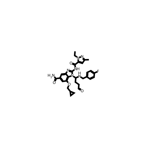 CCn1nc(C)cc1C(=O)Nc1nc2cc(C(N)=O)cc(OCC3CC3)c2n1C(CCC=O)NCc1ccc(F)cc1